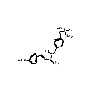 COc1ccc(/C=N/N(C)P(S)Oc2ccc(CP(=O)(OC)OC)cc2)cc1